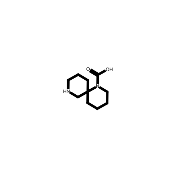 O=C(O)N1CCCCC12CCCNC2